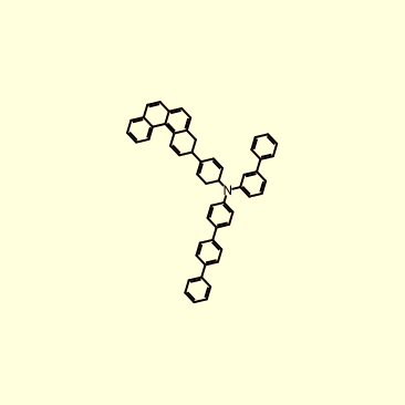 C1=CC(N(c2ccc(-c3ccc(-c4ccccc4)cc3)cc2)c2cccc(-c3ccccc3)c2)CC=C1C1C=Cc2c(ccc3ccc4ccccc4c23)C1